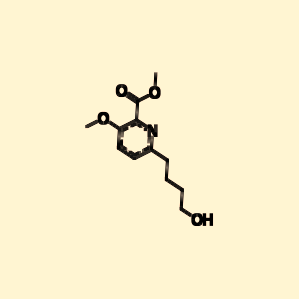 COC(=O)c1nc(CCCCO)ccc1OC